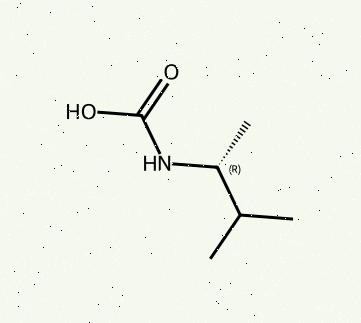 CC(C)[C@@H](C)NC(=O)O